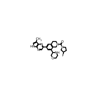 Cc1c[nH]c2ncc(-c3cc4c(c(C5COCCN5)c3)CN(C(=O)N3CCC(F)C3)CC4)nc12